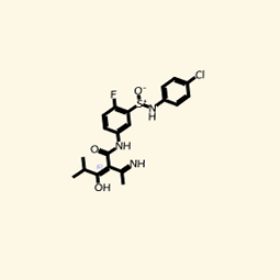 CC(=N)/C(C(=O)Nc1ccc(F)c([S+]([O-])Nc2ccc(Cl)cc2)c1)=C(\O)C(C)C